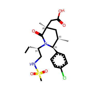 CC[C@@H](CNS(C)(=O)=O)N1C(=O)[C@@](C)(CC(=O)O)C[C@H](C)[C@H]1c1ccc(Cl)cc1